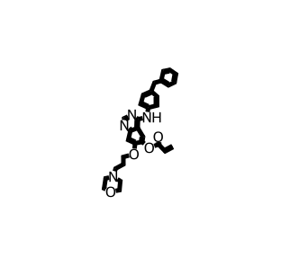 C=CC(=O)Oc1cc2c(Nc3ccc(Cc4ccccc4)cc3)ncnc2cc1OCCCN1CCOCC1